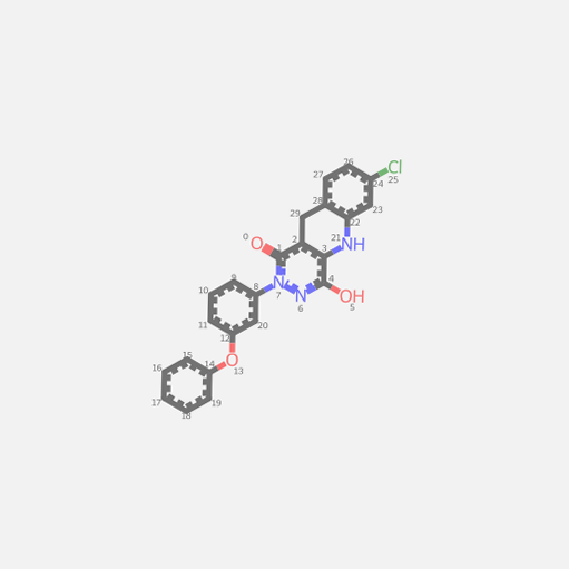 O=c1c2c(c(O)nn1-c1cccc(Oc3ccccc3)c1)Nc1cc(Cl)ccc1C2